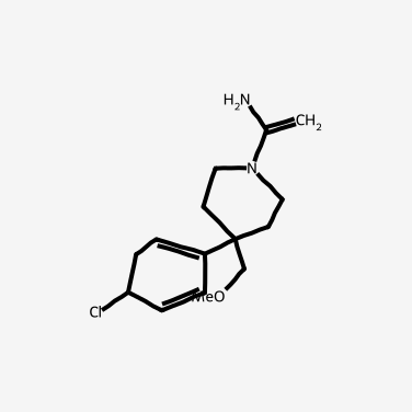 C=C(N)N1CCC(COC)(C2=CCC(Cl)C=C2)CC1